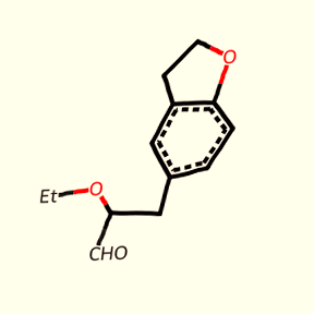 CCOC(C=O)Cc1ccc2c(c1)CCO2